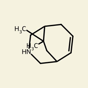 CC1(C)CC2C=CCC1CNC2